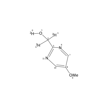 [2H]OC([2H])([2H])c1ncc(OC)cn1